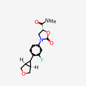 CNC(=O)[C@H]1CN(c2ccc(C3[C@H]4COC[C@@H]34)c(F)c2)C(=O)O1